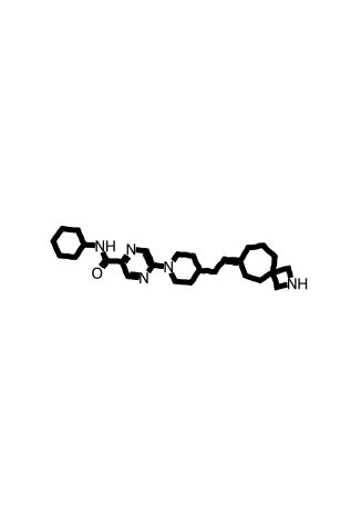 O=C(NC1CCCCC1)c1cnc(N2CCC(C/C=C3/CCCC4(CC3)CNC4)CC2)cn1